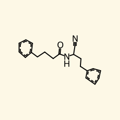 N#CC(CCc1ccccc1)NC(=O)CCCc1ccccc1